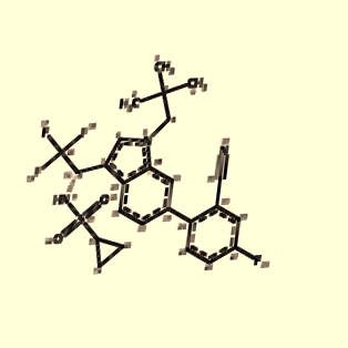 CC(C)(C)Cn1cc([C@H](NS(=O)(=O)C2CC2)C(F)(F)F)c2ccc(-c3ccc(F)cc3C#N)cc21